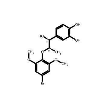 COc1cc(Br)cc(OC)c1O[C@H](C)[C@@H](O)c1ccc(O)c(O)c1